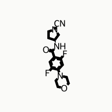 N#CN1CC[C@@H](NC(=O)c2cc(F)c(N3CCOCC3)cc2F)C1